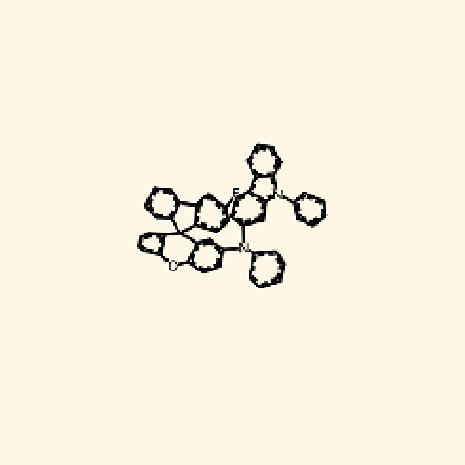 Fc1ccc2c(c1)-c1ccccc1C21c2ccccc2Oc2ccc(N(c3ccccc3)c3ccc4c5ccccc5n(-c5ccccc5)c4c3)cc21